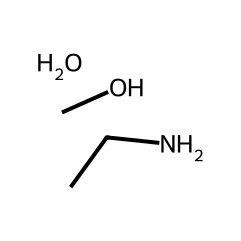 CCN.CO.O